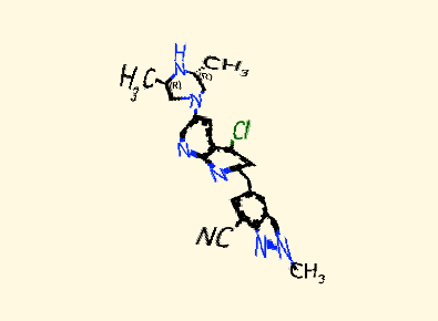 C[C@@H]1CN(c2cnc3nc(-c4cc(C#N)c5nn(C)cc5c4)cc(Cl)c3c2)C[C@@H](C)N1